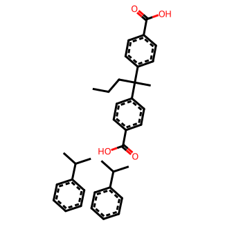 CC(C)c1ccccc1.CC(C)c1ccccc1.CCCC(C)(c1ccc(C(=O)O)cc1)c1ccc(C(=O)O)cc1